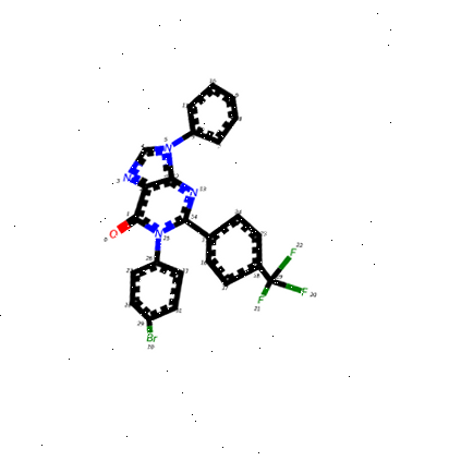 O=c1c2ncn(-c3ccccc3)c2nc(-c2ccc(C(F)(F)F)cc2)n1-c1ccc(Br)cc1